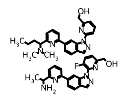 CC(N)c1cccc(-c2ccc3cnn(-c4nc(CO)ccc4F)c3c2)n1.CCCC(c1cccc(-c2ccc3cnn(-c4cccc(CO)n4)c3c2)n1)N(C)C